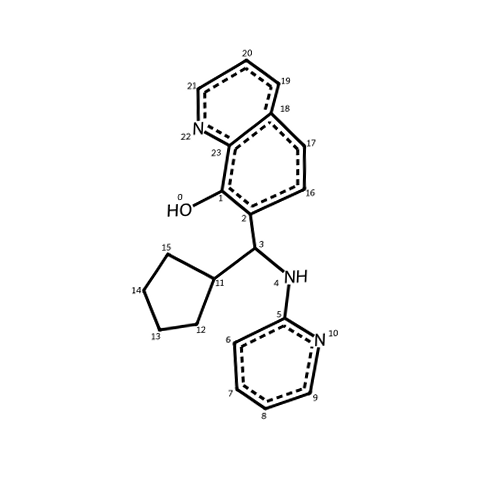 Oc1c(C(Nc2ccccn2)C2CCCC2)ccc2cccnc12